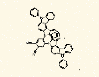 N#Cc1cc(-n2c3ccccc3c3c4c5ccccc5n(-c5ccccc5)c4ccc32)c(-n2c3ccccc3c3c4c5ccccc5n(-c5ccccc5)c4ccc32)cc1C#N